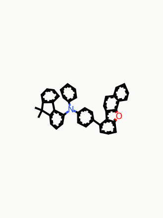 CC1(C)c2ccccc2-c2c(N(c3ccccc3)c3ccc(-c4cccc5oc6c7ccccc7ccc6c45)cc3)cccc21